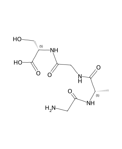 C[C@H](NC(=O)CN)C(=O)NCC(=O)N[C@@H](CO)C(=O)O